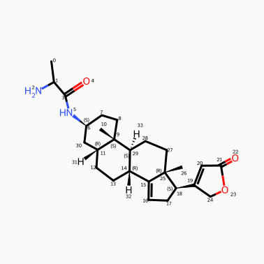 CC(N)C(=O)N[C@H]1CC[C@@]2(C)[C@H](CC[C@H]3C4=CC[C@H](C5=CC(=O)OC5)[C@@]4(C)CC[C@@H]32)C1